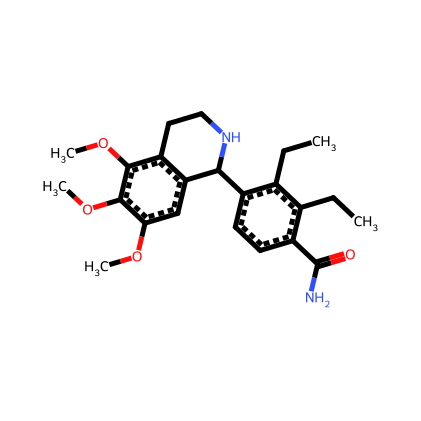 CCc1c(C(N)=O)ccc(C2NCCc3c2cc(OC)c(OC)c3OC)c1CC